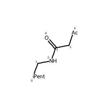 CCCC(C)CNC(=O)CC(C)=O